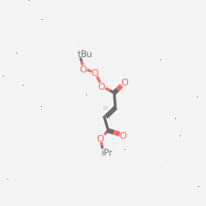 CC(C)OC(=O)/C=C/C(=O)OOOC(C)(C)C